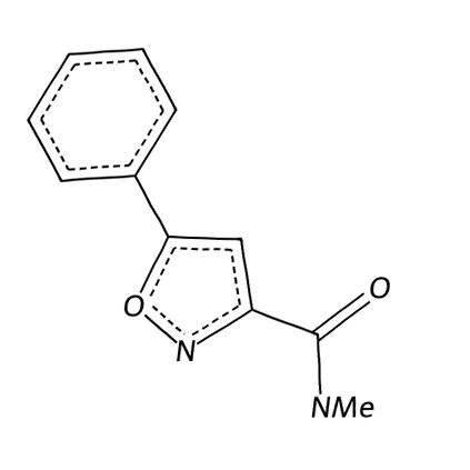 [CH2]NC(=O)c1cc(-c2ccccc2)on1